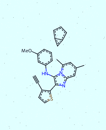 C#Cc1ccsc1-c1nc2cc(C)cc(C)n2c1Nc1cccc(OC)c1.c1cc2cc-2c1